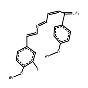 C=C(\C=C/C=N/C=C/c1ccc(OC(C)C)c(F)c1)c1ccc(OC(C)C)cc1